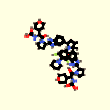 CC1C[C@H](c2ccc3[nH]c([C@@H]4CCCN4C(=O)[C@@H](NC(=O)O)C4CCOCC4)nc3c2)N(c2cc(F)c(N3CCCCC3)c(F)c2)[C@@]1(C)c1ccc2[nH]c([C@@H]3CCCN3C(=O)[C@@H](NC(=O)O)C3CCOCC3)nc2c1